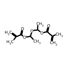 C=C(C)C(=O)OC(C)OC(C)OC(=O)C(=C)C